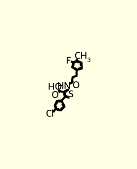 Cc1ccc(CCC(=O)Nc2scc(-c3ccc(Cl)cc3)c2C(=O)O)cc1F